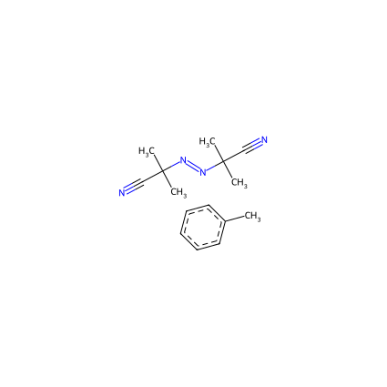 CC(C)(C#N)N=NC(C)(C)C#N.Cc1ccccc1